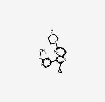 COc1cc(-c2c(C3CC3)nc3ccc(N4CCNCC4)nn23)ccn1